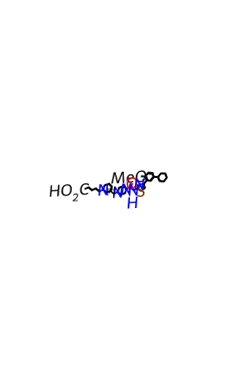 COc1ccc(C2CCCCC2)cc1-c1csc(NC(=O)N2CCN(C[C@@H]3CCCN(CCCCC(=O)O)C3)CC2)n1